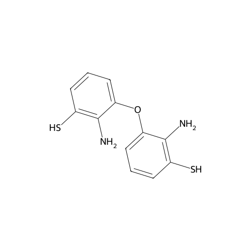 Nc1c(S)cccc1Oc1cccc(S)c1N